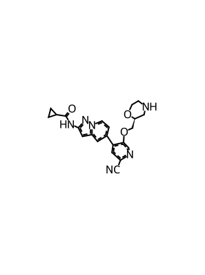 N#Cc1cc(-c2ccn3nc(NC(=O)C4CC4)cc3c2)c(OC[C@@H]2CNCCO2)cn1